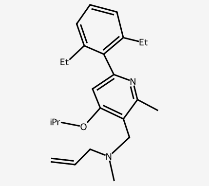 C=CCN(C)Cc1c(OC(C)C)cc(-c2c(CC)cccc2CC)nc1C